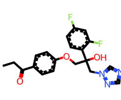 CCC(=O)c1ccc(OCC(O)(Cn2cncn2)c2ccc(F)cc2F)cc1